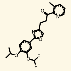 Cc1cccnc1C(=O)CCc1coc(-c2ccc(OC(C)C)c(OC(F)F)c2)n1